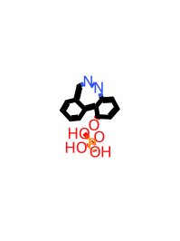 O=P(O)(O)O.O=c1cccc2nncc3ccccc3c1-2